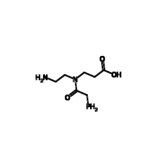 NCCN(CCC(=O)O)C(=O)CP